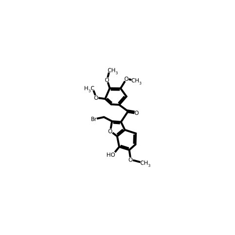 COc1cc(C(=O)c2c(CBr)oc3c(O)c(OC)ccc23)cc(OC)c1OC